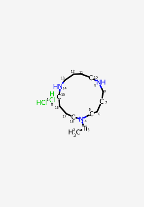 Cl.Cl.[CH3][Ti][N]1CCCCNCCCCNCCCC1